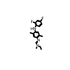 CCN(C)C=Nc1cc(C)c(Nc2ccc(F)cc2F)cc1C